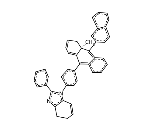 C[C@@]12CC=CC=C1C(c1ccc(-n3c(-c4ccccc4)nc4c3C=CCC4)cc1)=c1ccccc1=C2c1ccc2ccccc2c1